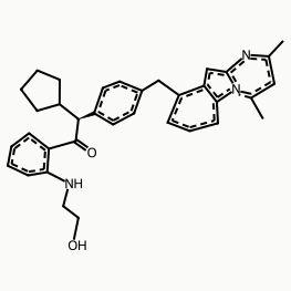 Cc1cc(C)n2c(cc3c(Cc4ccc([C@@H](C(=O)c5ccccc5NCCO)C5CCCC5)cc4)cccc32)n1